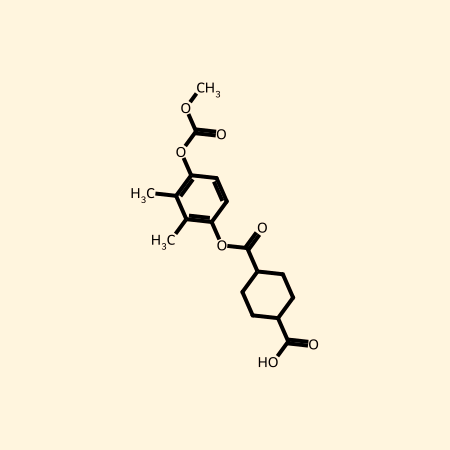 COC(=O)Oc1ccc(OC(=O)C2CCC(C(=O)O)CC2)c(C)c1C